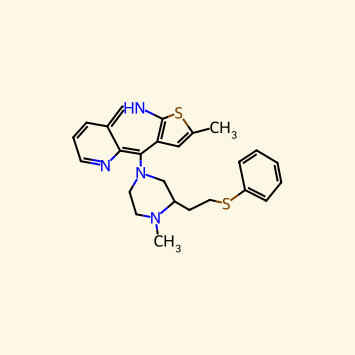 Cc1cc2c(s1)NC=c1cccnc1=C2N1CCN(C)C(CCSc2ccccc2)C1